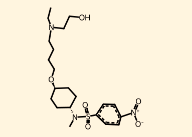 CCN(CCO)CCCCO[C@H]1CC[C@H](N(C)S(=O)(=O)c2ccc([N+](=O)[O-])cc2)CC1